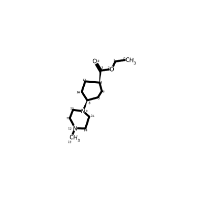 CCOC(=O)[C@H]1CC[C@@H](N2CCN(C)CC2)CC1